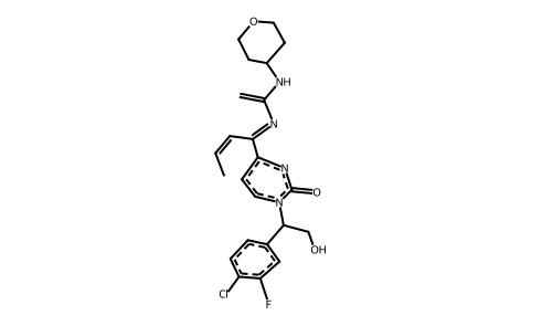 C=C(/N=C(\C=C/C)c1ccn(C(CO)c2ccc(Cl)c(F)c2)c(=O)n1)NC1CCOCC1